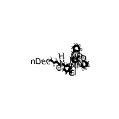 CCCCCCCCCCCCCC(=O)Nc1ccc(Cl)c(NC2=NN(Cc3ccccc3)C(=O)C2n2ccccc2=O)c1